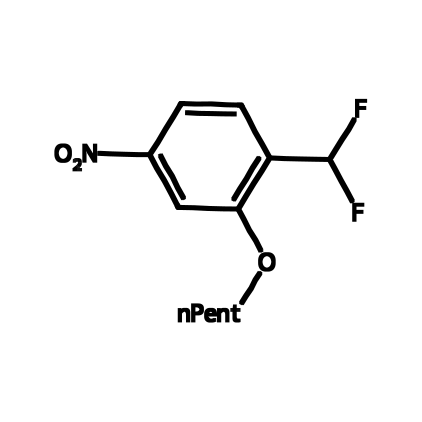 CCCCCOc1cc([N+](=O)[O-])ccc1C(F)F